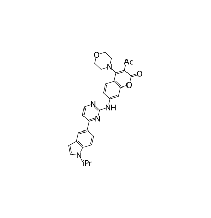 CC(=O)c1c(N2CCOCC2)c2ccc(Nc3nccc(-c4ccc5c(ccn5C(C)C)c4)n3)cc2oc1=O